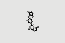 O=C(ON1C(=O)CCC1O)C1CCC(CN2C(=O)C=CC2=O)CC1